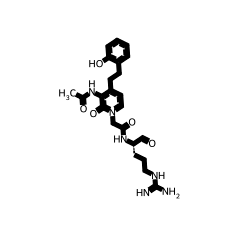 CC(=O)Nc1c(CCc2ccccc2O)ccn(CC(=O)N[C@H](C=O)CCCNC(=N)N)c1=O